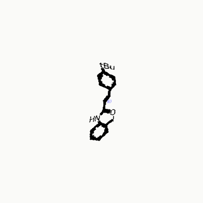 CC(C)(C)c1ccc(/C=C/C(=O)Nc2ccccc2I)cc1